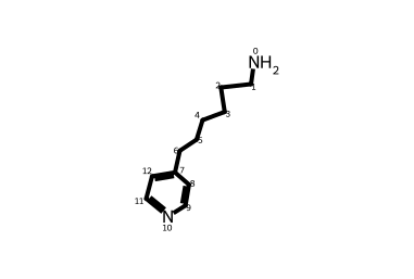 NCCCCCCc1ccncc1